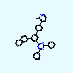 Cc1ncccc1-c1ccc(-c2cc(-c3ccc4ccccc4c3)cc(-c3nc(-c4ccccc4)nc(-c4ccccc4)n3)c2)cc1